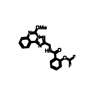 COc1nc2ccccc2c2nc(CNC(=O)c3ccccc3OC(F)F)nn12